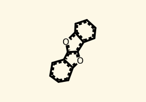 c1ccc2c(c1)oc1c3ccccc3oc21